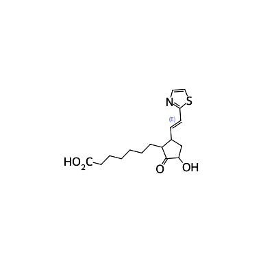 O=C(O)CCCCCCC1C(=O)C(O)CC1/C=C/c1nccs1